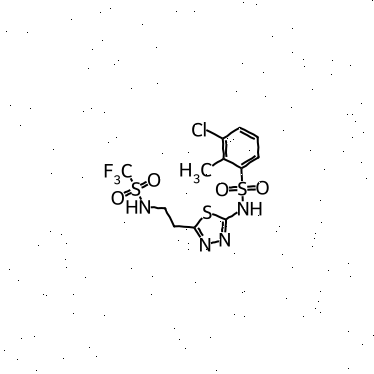 Cc1c(Cl)cccc1S(=O)(=O)Nc1nnc(CCNS(=O)(=O)C(F)(F)F)s1